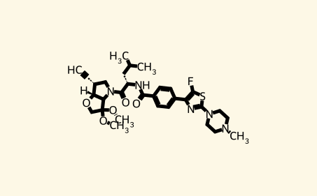 C#C[C@@H]1CN(C(=O)[C@H](CC(C)C)NC(=O)c2ccc(-c3nc(N4CCN(C)CC4)sc3F)cc2)C2[C@@H]1OCC2(OC)OC